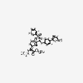 CC(C)(C)OC(=O)N(CC(=O)O)c1cccc(C(Cc2ccc(-c3ncc(Cl)s3)cc2)NS(=O)(=O)c2ccccn2)n1